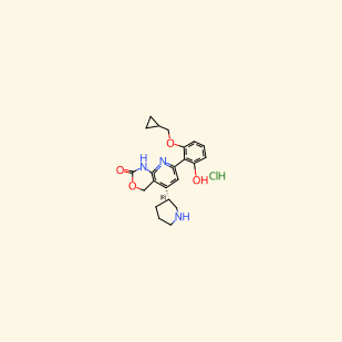 Cl.O=C1Nc2nc(-c3c(O)cccc3OCC3CC3)cc([C@H]3CCCNC3)c2CO1